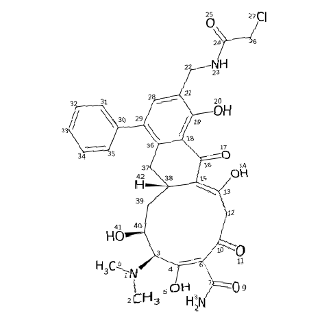 CN(C)[C@@H]1/C(O)=C(/C(N)=O)C(=O)C/C(O)=C2/C(=O)c3c(O)c(CNC(=O)CCl)cc(-c4ccccc4)c3C[C@H]2C[C@@H]1O